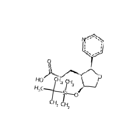 CC(C)(C)[Si](C)(C)O[C@@H]1CO[C@H](c2cccnc2)[C@@H]1CCC(=O)O